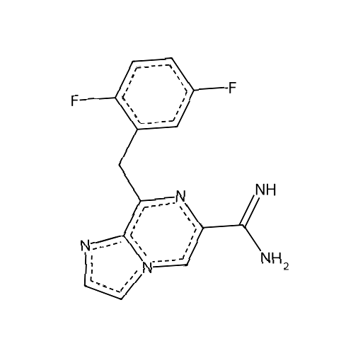 N=C(N)c1cn2ccnc2c(Cc2cc(F)ccc2F)n1